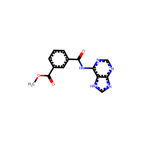 COC(=O)c1cccc(C(=O)Nc2ncnc3nc[nH]c23)c1